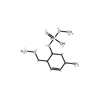 BC1C=CC(COC)C(OP(=O)(O)OC)C1